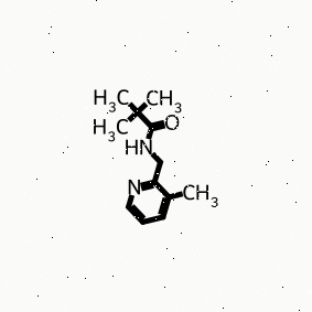 Cc1cccnc1CNC(=O)C(C)(C)C